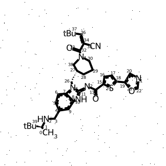 C[C@H](NCc1ccc2c(c1)[nH]/c(=N\C(=O)c1ccc(-c3cnco3)s1)n2C[C@H]1CCCN(C(=O)/C(C#N)=C\C(C)(C)C)C1)C(C)(C)C